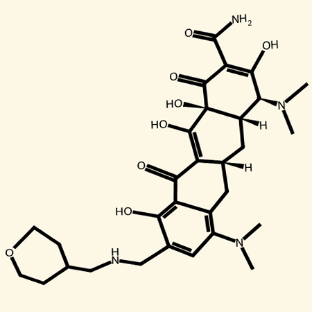 CN(C)c1cc(CNCC2CCOCC2)c(O)c2c1C[C@H]1C[C@H]3[C@H](N(C)C)C(O)=C(C(N)=O)C(=O)[C@@]3(O)C(O)=C1C2=O